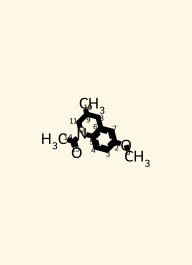 COc1ccc2c(c1)CC(C)CN2C(C)=O